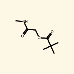 CNC(=O)COC(=O)C(C)(C)C